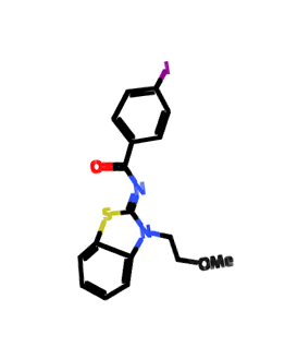 COCCn1/c(=N/C(=O)c2ccc(I)cc2)sc2ccccc21